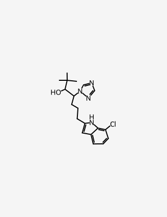 CC(C)(C)C(O)C(CCCc1cc2cccc(Cl)c2[nH]1)n1cncn1